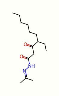 CCCCCCC(CC)C(=O)CC(=O)NN=C(C)C